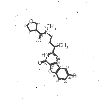 CC(CCN(C)C(=O)C1CCOC1)c1nc2c(oc3ccc(Br)cc32)c(=O)[nH]1